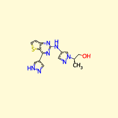 C[C@H](CO)n1cc(Nc2nc(-c3cn[nH]c3)c3sccc3n2)cn1